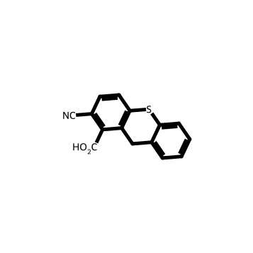 N#Cc1ccc2c(c1C(=O)O)Cc1ccccc1S2